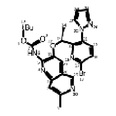 Cc1cc2nc(NC(=O)OC(C)(C)C)c(O[C@@H](C)c3nc(Br)ccc3-n3cccn3)cc2cn1